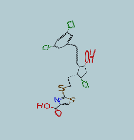 O=C(O)c1csc(SCC[C@@H]2[C@@H](C=Cc3cc(Cl)cc(Cl)c3)[C@H](O)C[C@H]2Cl)n1